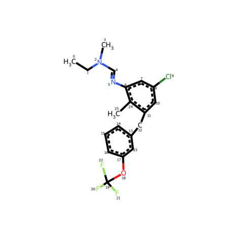 CCN(C)C=Nc1cc(Cl)cc(Cc2cccc(OC(F)(F)F)c2)c1C